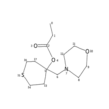 CCC(=O)OC1(CN2CCOCC2)CCSCC1